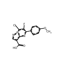 COc1ccc(-c2nc3c(C(=O)O)cnn3c(Cl)c2F)cc1